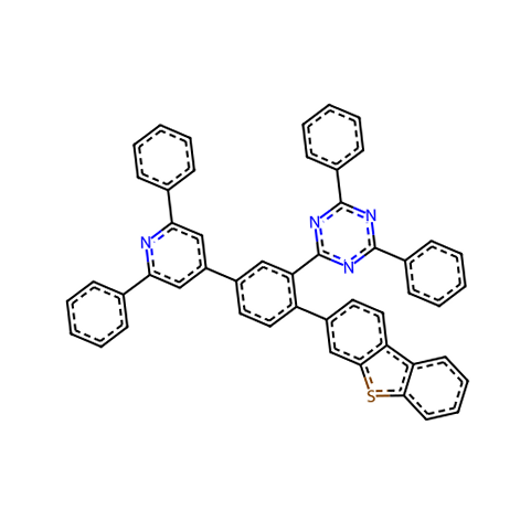 c1ccc(-c2cc(-c3ccc(-c4ccc5c(c4)sc4ccccc45)c(-c4nc(-c5ccccc5)nc(-c5ccccc5)n4)c3)cc(-c3ccccc3)n2)cc1